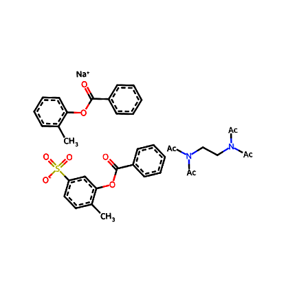 CC(=O)N(CCN(C(C)=O)C(C)=O)C(C)=O.Cc1ccc(S(=O)(=O)[O-])cc1OC(=O)c1ccccc1.Cc1ccccc1OC(=O)c1ccccc1.[Na+]